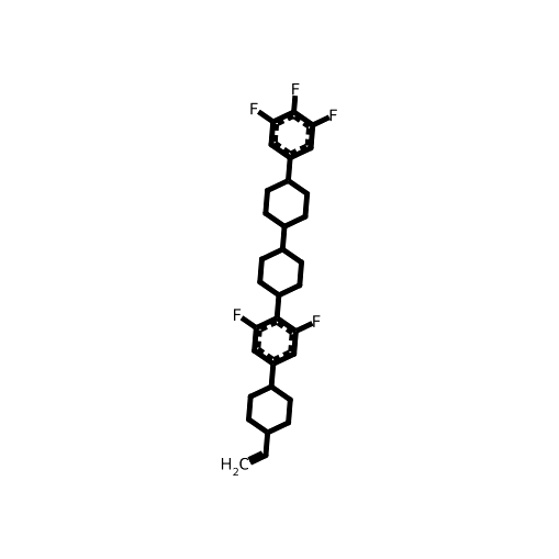 C=CC1CCC(c2cc(F)c(C3CCC(C4CCC(c5cc(F)c(F)c(F)c5)CC4)CC3)c(F)c2)CC1